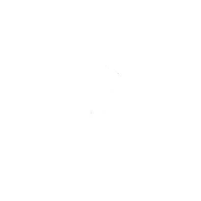 CNS(=O)(=O)c1ccc(O[C@@H]2CCC[C@@H]2C)cc1